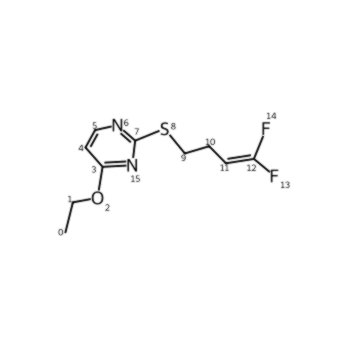 CCOc1ccnc(SCCC=C(F)F)n1